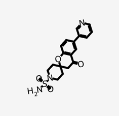 NS(=O)(=O)N1CCC2(CC1)CC(=O)c1cc(-c3cccnc3)ccc1O2